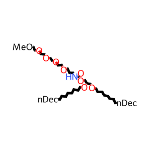 CCCCCCCCCCCCCCCCCCOCC(COC(=O)NCCCOCCOCCOCCOCCOC)OCCCCCCCCCCCCCCCCCC